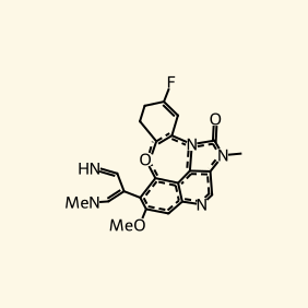 CN/C=C(\C=N)c1c(OC)cc2ncc3c4c2c1oc1c(n4c(=O)n3C)C=C(F)CC1